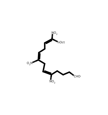 CCCCCCCC/C(=C\C/C=C(\C/C=C(\CCC[C]=O)[N+](=O)[O-])[N+](=O)[O-])[N+](=O)[O-]